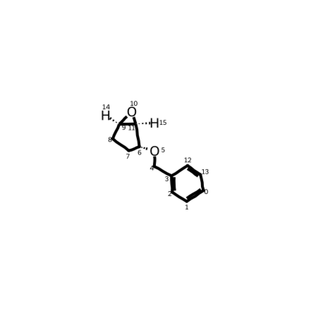 c1ccc(CO[C@@H]2CC[C@H]3O[C@@H]23)cc1